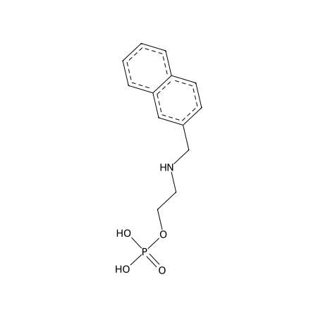 O=P(O)(O)OCCNCc1ccc2ccccc2c1